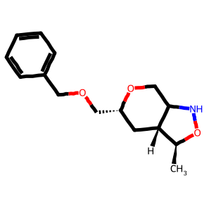 C[C@@H]1ONC2CO[C@@H](COCc3ccccc3)C[C@H]21